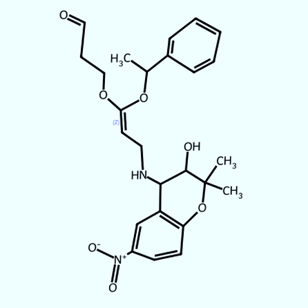 CC(O/C(=C\CNC1c2cc([N+](=O)[O-])ccc2OC(C)(C)C1O)OCCC=O)c1ccccc1